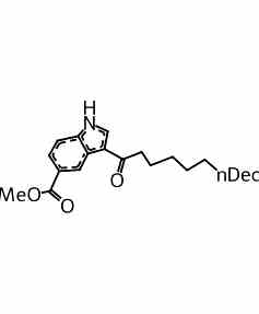 CCCCCCCCCCCCCCCC(=O)c1c[nH]c2ccc(C(=O)OC)cc12